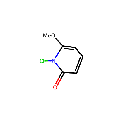 COc1cccc(=O)n1Cl